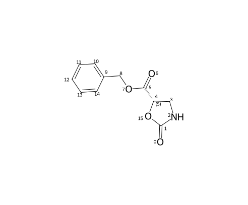 O=C1NC[C@@H](C(=O)OCc2ccccc2)O1